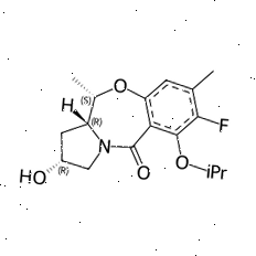 Cc1cc2c(c(OC(C)C)c1F)C(=O)N1C[C@H](O)C[C@@H]1[C@H](C)O2